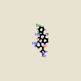 CC(=O)N1CC(C(Oc2ccc3c(c2)C(C)(C)c2[nH]c4cc(Br)ccc4c2C3=O)C2CCNCC2)C1